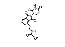 O=C1CCC(N2C(=O)c3cccc(CCNC(=O)C4CC4)c3C2=O)C(=O)N1